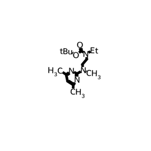 CCN(CCN(C)c1nc(C)cc(C)n1)C(=O)OC(C)(C)C